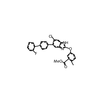 COC(=O)c1cc(Oc2nc3cc(-c4ccc(-c5ccccc5F)cc4)c(Cl)cc3[nH]2)ccc1C